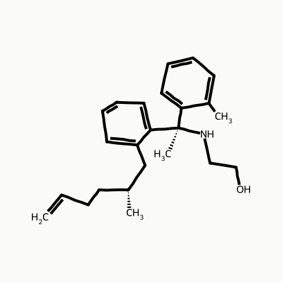 C=CCC[C@@H](C)Cc1ccccc1[C@](C)(NCCO)c1ccccc1C